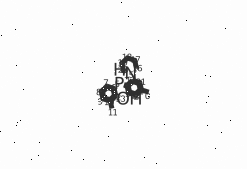 Cc1ccc(Pc2cccc(C)c2O)c(N2CCCCC2)c1